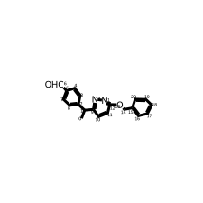 CC(c1ccc(C=O)cc1)c1ccc(OCc2ccccc2)nn1